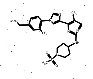 CNCc1ccc(-n2cnc(-c3nc(NC4CCN(S(C)(=O)=O)CC4)ncc3C(F)(F)F)c2)c(C(F)(F)F)c1